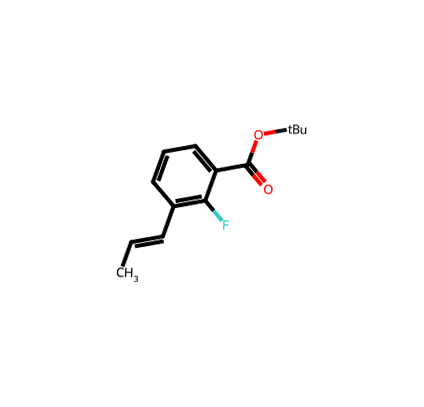 CC=Cc1cccc(C(=O)OC(C)(C)C)c1F